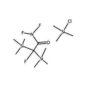 C[Si](C)(C)C(F)(C(=O)N(F)F)[Si](C)(C)C.C[Si](C)(C)Cl